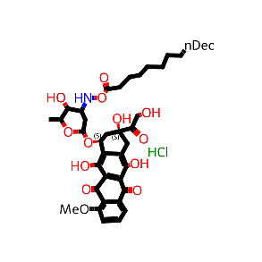 CCCCCCCCCCCCCCCCCC(=O)ONC1CC(O[C@H]2C[C@](O)(C(=O)CO)Cc3c(O)c4c(c(O)c32)C(=O)c2c(OC)cccc2C4=O)OC(C)C1O.Cl